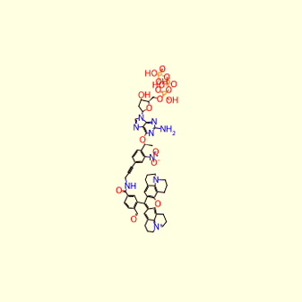 C[C@H](Oc1nc(N)nc2c1ncn2[C@H]1C[C@@H](O)[C@@H](COP(=O)(O)OP(=O)(O)OP(=O)(O)O)O1)c1ccc(C#CCNC(=O)c2ccc(C=O)c(C3=c4cc5c6c(c4Oc4c3cc3c7c4CCCN7CCC3)CCC[N+]=6CCC5)c2)cc1[N+](=O)[O-]